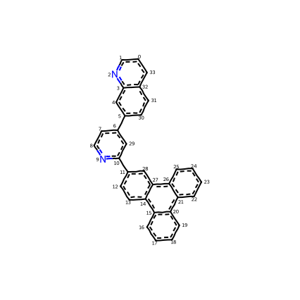 c1cnc2cc(-c3ccnc(-c4ccc5c6ccccc6c6ccccc6c5c4)c3)ccc2c1